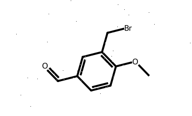 COc1ccc(C=O)cc1CBr